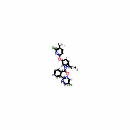 Cc1ccc(OC2CC3CC2N(C(=O)c2ccccc2-c2ncc(F)cn2)C3C)nc1F